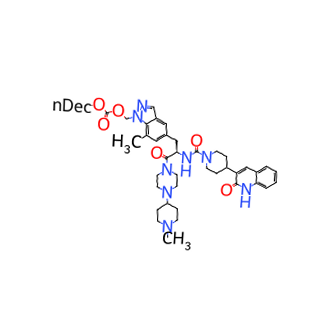 CCCCCCCCCCOC(=O)OCn1ncc2cc(C[C@@H](NC(=O)N3CCC(c4cc5ccccc5[nH]c4=O)CC3)C(=O)N3CCN(C4CCN(C)CC4)CC3)cc(C)c21